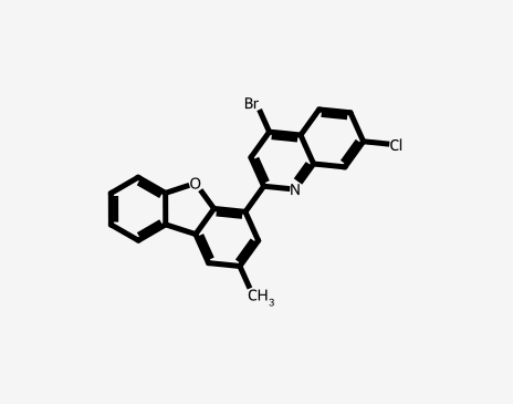 Cc1cc(-c2cc(Br)c3ccc(Cl)cc3n2)c2oc3ccccc3c2c1